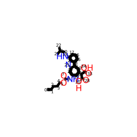 C=CCCCOC(=O)Nc1cccc2c3cccc(NCC(C)C)c3nc-2c1.O=C(O)CC(=O)O